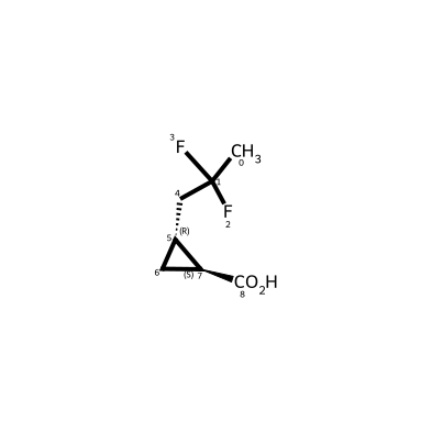 CC(F)(F)C[C@H]1C[C@@H]1C(=O)O